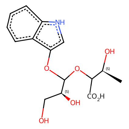 C[C@H](O)C(OC(Oc1c[nH]c2ccccc12)[C@@H](O)CO)C(=O)O